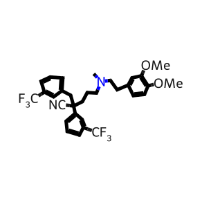 COc1ccc(CCN(C)CCCC(C#N)(Cc2cccc(C(F)(F)F)c2)c2cccc(C(F)(F)F)c2)cc1OC